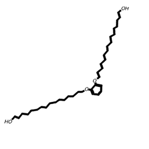 OCCCCCCCCCCCCCCCCOc1ccccc1OCCCCCCCCCCCCCCCCO